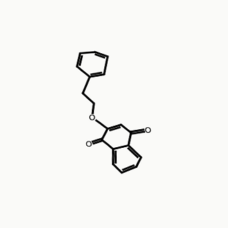 O=C1C=C(OCCc2ccccc2)C(=O)c2ccccc21